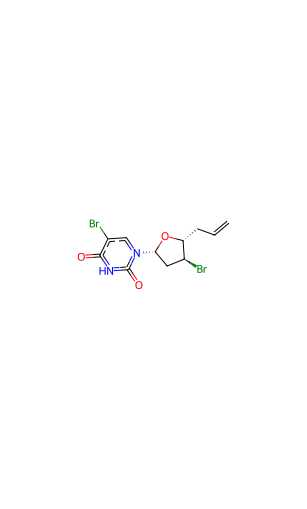 C=CC[C@H]1O[C@@H](n2cc(Br)c(=O)[nH]c2=O)C[C@@H]1Br